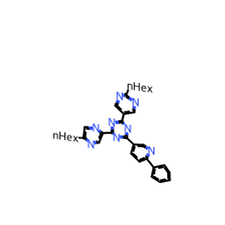 CCCCCCc1cnc(-c2nc(-c3ccc(-c4ccccc4)nc3)nc(-c3cnc(CCCCCC)nc3)n2)cn1